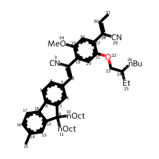 [C-]#[N+]/C(=C\c1ccc2c(c1)C(CCCCCCCC)(CCCCCCCC)c1cc(C)ccc1-2)c1cc(OCC(CC)CCCC)c(/C(C#N)=C/C)cc1OC